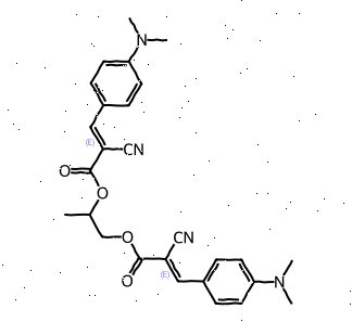 CC(COC(=O)/C(C#N)=C/c1ccc(N(C)C)cc1)OC(=O)/C(C#N)=C/c1ccc(N(C)C)cc1